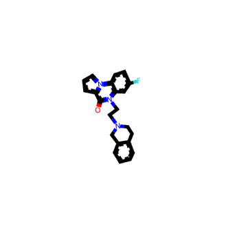 O=c1c2cccn2c2ccc(F)cc2n1CCN1CCc2ccccc2C1